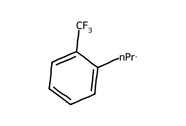 CC[CH]c1ccccc1C(F)(F)F